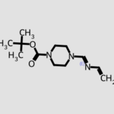 C=C/N=C/N1CCN(C(=O)OC(C)(C)C)CC1